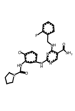 NC(=O)c1cnc(Nc2ccc(Cl)c(NC(=O)N3CCCC3)c2)nc1NCc1ccccc1F